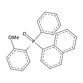 COc1ccccc1[P@](=O)(c1ccccc1)c1cccc2ccccc12